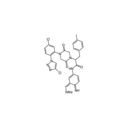 CN/C=C1/C=C(NC(=O)C(Cc2ccc(C)cc2)N2CC(=O)N(c3cc(Cl)ccc3-n3cc(Cl)nn3)CC2=O)C=CC1=N